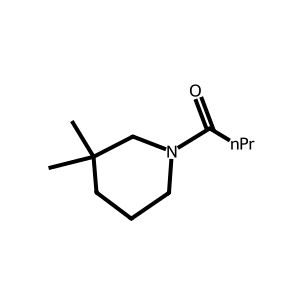 CCCC(=O)N1CCCC(C)(C)C1